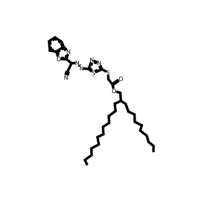 CCCCCCCCCCCCC(CCCCCCCCCC)COC(=O)CSc1nnc(N=NC(C#N)c2nc3ccccc3o2)s1